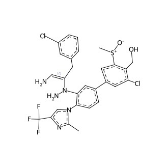 Cc1nc(C(F)(F)F)cn1-c1ccc(-c2cc(Cl)c(CO)c([S+](C)[O-])c2)cc1N(N)/C(=C\N)Cc1cccc(Cl)c1